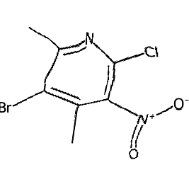 Cc1nc(Cl)c([N+](=O)[O-])c(C)c1Br